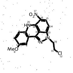 COc1ccc2c(c1)-c1nn(CCCl)c3ccc([N+](=O)[O-])c(c13)N2